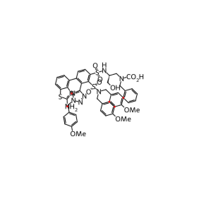 COc1ccc(CN(Cc2ccc(OC)cc2)S(=O)(=O)c2c(S(=O)(=O)N[C@H](CO)CN(Cc3ccccc3)C(=O)O)ccc(-c3cccc4sc(N)nc34)c2-c2nnn(Cc3ccc(OC)cc3)n2)cc1